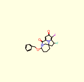 O=C1c2cc(=O)c(I)c3n2C2(CCCC(OCc4ccccc4)N1C2)CC3F